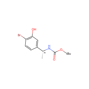 C[C@@H](NC(=O)OC(C)(C)C)c1ccc(Br)c(O)c1